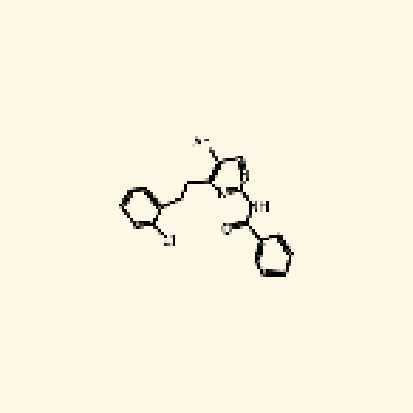 CC(=O)c1cnc(NC(=O)c2ccccc2)nc1CCc1ccccc1Cl